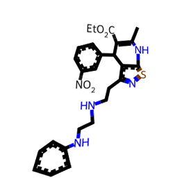 CCOC(=O)C1=C(C)Nc2snc(CCNCCNc3ccccc3)c2C1c1cccc([N+](=O)[O-])c1